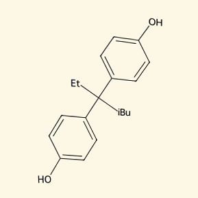 CCC(C)C(CC)(c1ccc(O)cc1)c1ccc(O)cc1